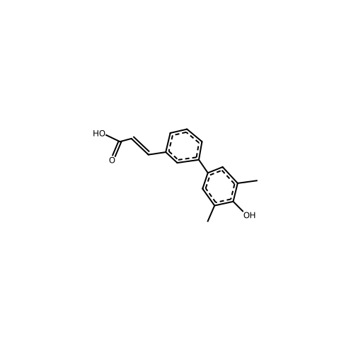 Cc1cc(-c2cccc(C=CC(=O)O)c2)cc(C)c1O